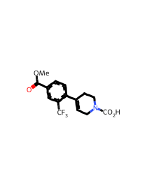 COC(=O)c1ccc(C2=CCN(C(=O)O)CC2)c(C(F)(F)F)c1